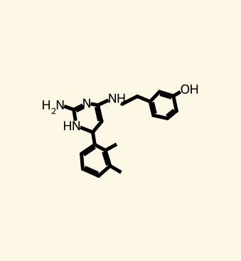 Cc1cccc(C2C=C(NCCc3cccc(O)c3)N=C(N)N2)c1C